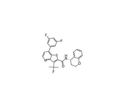 CC(C)(F)c1c(C(=O)N[C@H]2CCOc3ccccc32)sc2c(-c3cc(F)cc(F)c3)ccnc12